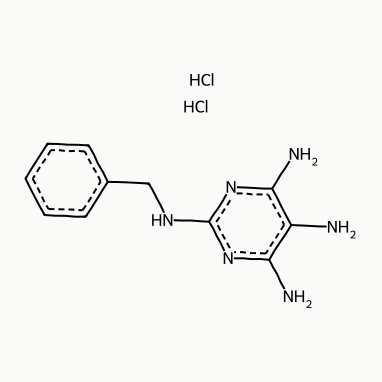 Cl.Cl.Nc1nc(NCc2ccccc2)nc(N)c1N